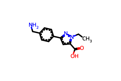 CCn1nc(-c2ccc(CN)cc2)cc1C(=O)O